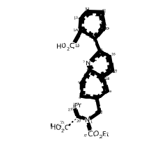 CCOC(=O)N(Cc1ccc2nc(-c3ccccc3C(=O)O)ccc2c1)[C@H](C(=O)O)C(C)C